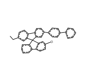 CCc1ccc2c(c1)C1(c3ccccc3-c3ccc(Cl)cc31)c1cc(-c3ccc(-c4ccccc4)cc3)ccc1-2